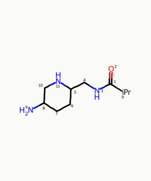 CC(C)C(=O)NCC1CCC(N)CN1